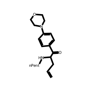 C=CCC(NCCCCC)C(=O)c1ccc(N2CCOCC2)cc1